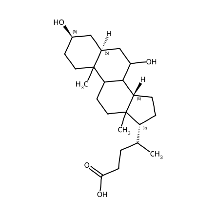 CC(CCC(=O)O)[C@H]1CC[C@H]2C3C(O)C[C@@H]4C[C@H](O)CCC4(C)C3CCC12C